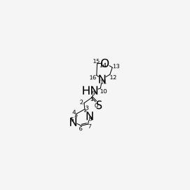 S=C(Cc1cnccn1)NCN1CCOCC1